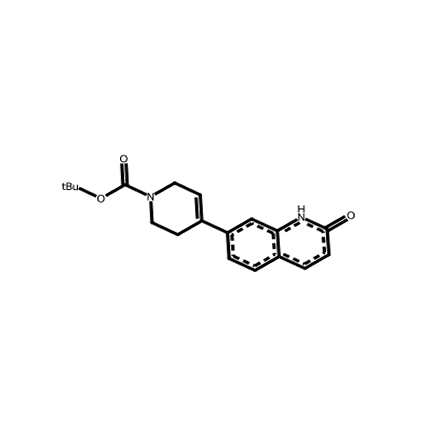 CC(C)(C)OC(=O)N1CC=C(c2ccc3ccc(=O)[nH]c3c2)CC1